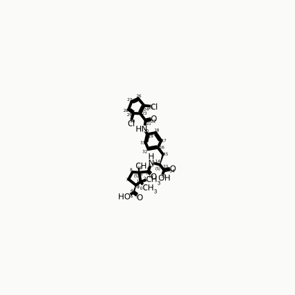 CC1(C)[C@@H](C(=O)O)CC[C@]1(C)C(=O)N[C@@H](Cc1ccc(NC(=O)c2c(Cl)cccc2Cl)cc1)C(=O)O